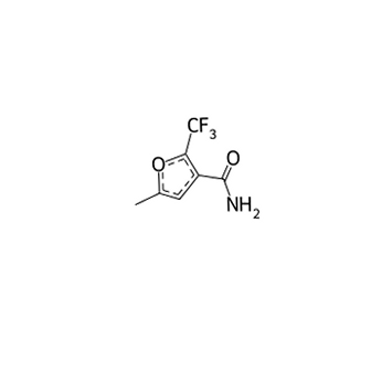 Cc1cc(C(N)=O)c(C(F)(F)F)o1